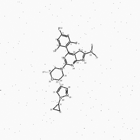 C[C@@H]1CN(c2nc(-c3c(F)cc(F)cc3F)c3sc(N(C)C)nc3n2)C[C@H](c2cnn(C3CC3)c2)O1